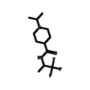 CC(C)N1CCC(C(=O)NC(C)C(F)(F)F)CC1